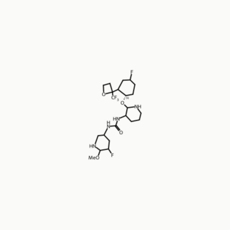 COC1NCC(NC(=O)NC2CCCNC2O[C@H]2CCC(F)CC2C2(C(F)(F)F)CCO2)CC1F